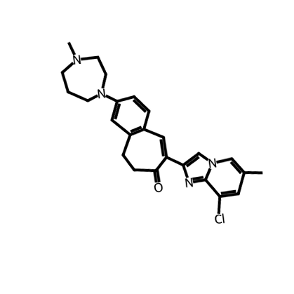 Cc1cc(Cl)c2nc(C3=Cc4ccc(N5CCCN(C)CC5)cc4CCC3=O)cn2c1